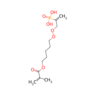 C=C(C)C(=O)OCCCCCOOCC(=C)P(=O)(O)O